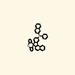 c1ccc(N(c2ccc3c(c2)-c2c(ccc4ccccc24)C32c3ccccc3Oc3ccccc32)c2ccc3ccccc3c2)cc1